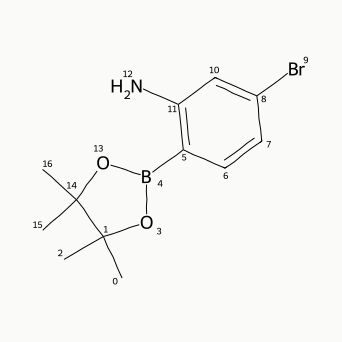 CC1(C)OB(c2ccc(Br)cc2N)OC1(C)C